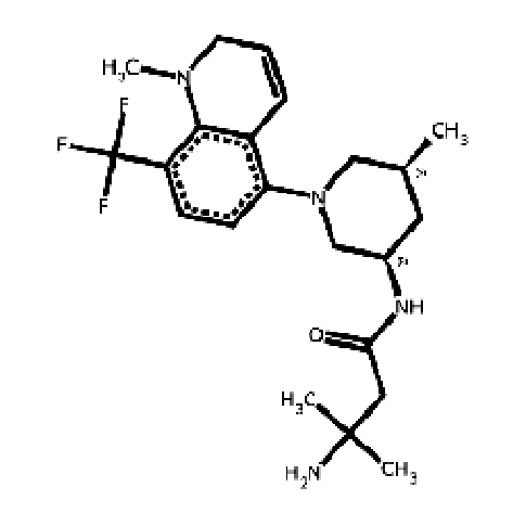 C[C@H]1C[C@@H](NC(=O)CC(C)(C)N)CN(c2ccc(C(F)(F)F)c3c2C=CCN3C)C1